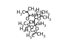 C=C(C)C(=O)NC(CC([SiH3])(O[Si](C)(C)C)O[Si](C)(C)C)O[Si](C)(C)C